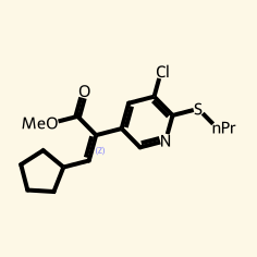 CCCSc1ncc(/C(=C/C2CCCC2)C(=O)OC)cc1Cl